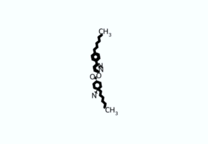 CCCCCCCc1ccc(-c2ccc(OC(=O)[C@H]3CC[C@@](C#N)(CCCCCCC)CC3)nn2)cc1